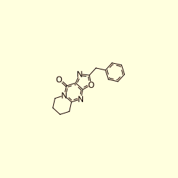 O=c1c2nc(Cc3ccccc3)oc2nc2n1CCCC2